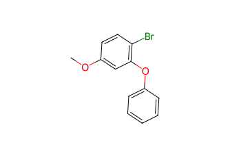 COc1ccc(Br)c(Oc2ccccc2)c1